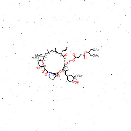 C=CC[C@@H]1/C=C(\C)C[C@H](C)C[C@H](OC)[C@H]2O[C@@](O)(C(=O)C(=O)N3CCCC[C@H]3C(=O)O[C@H](/C(C)=C/C3CC[C@@H](O)[C@H](OC)C3)[C@H](C)[C@@H](OCOC(=O)CCC(=O)OC(COC(C)=O)COC(C)=O)CC1=O)[C@H](C)C[C@@H]2OC